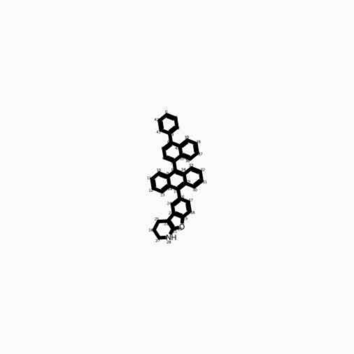 c1ccc(-c2ccc(-c3c4ccccc4c(-c4ccc5oc6c(c5c4)CCCN6)c4ccccc34)c3ccccc23)cc1